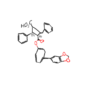 O=C(O)C1C(c2ccccc2)[C@@H](C(=O)Oc2cccc(-c3ccc4c(c3)OCO4)c2)[C@H]1c1ccccc1